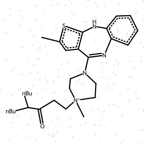 CCCCC(CCCC)C(=O)CC[N+]1(C)CCN(C2=Nc3ccccc3Nc3sc(C)cc32)CC1